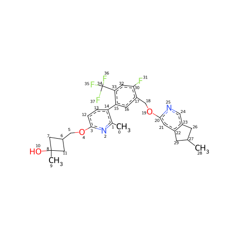 Cc1nc(OCC2CC(C)(O)C2)ccc1-c1cc(COc2cc3c(cn2)CC(C)C3)c(F)cc1C(F)(F)F